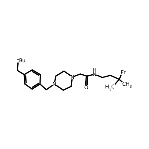 CCC(C)(C)CCNC(=O)CN1CCN(Cc2ccc(CC(C)(C)C)cc2)CC1